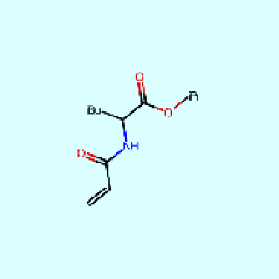 C=CC(=O)NC(C(=O)OC(C)C)C(C)CC